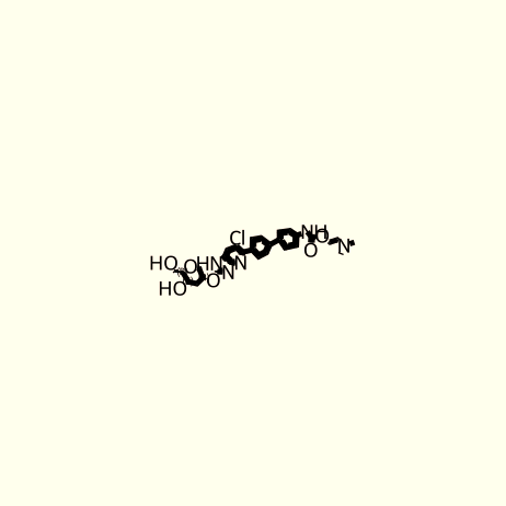 CN(C)CCOC(=O)Nc1ccc(-c2ccc(-c3nc4nc(O[C@H]5CO[C@H](CO)[C@@H](O)C5)[nH]c4cc3Cl)cc2)cc1